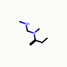 C=C(CC)N(C)CNC